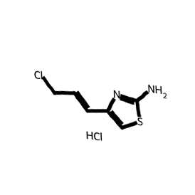 Cl.Nc1nc(C=CCCl)cs1